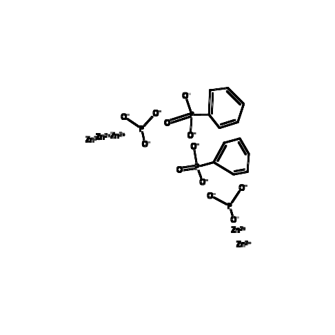 O=P([O-])([O-])c1ccccc1.O=P([O-])([O-])c1ccccc1.[O-]P([O-])[O-].[O-]P([O-])[O-].[Zn+2].[Zn+2].[Zn+2].[Zn+2].[Zn+2]